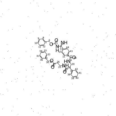 N=C(NC(=O)OCc1ccccc1)c1ccc(C(=O)NCC(C(=O)NCCC(=O)OCc2ccccc2)c2ccccc2)cc1